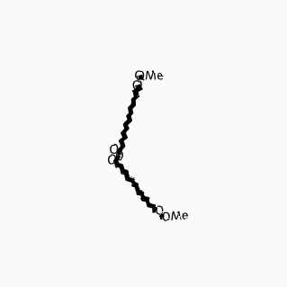 COCOCCCCCCCCCCCCCCCC(=O)OC(=O)CCCCCCCCCCCCCCCOCOC